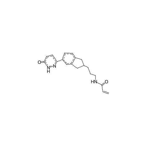 C=CC(=O)NCCCC1Cc2ccc(-c3ccc(=O)[nH]n3)cc2C1